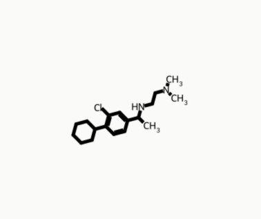 CC(NCCN(C)C)c1ccc(C2CCCCC2)c(Cl)c1